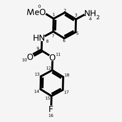 COc1cc(N)ccc1NC(=O)Oc1ccc(F)cc1